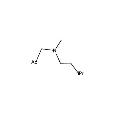 CC(=O)CN(C)CCC(C)C